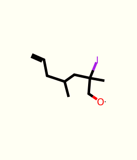 C=CCC(C)CC(C)(I)C[O]